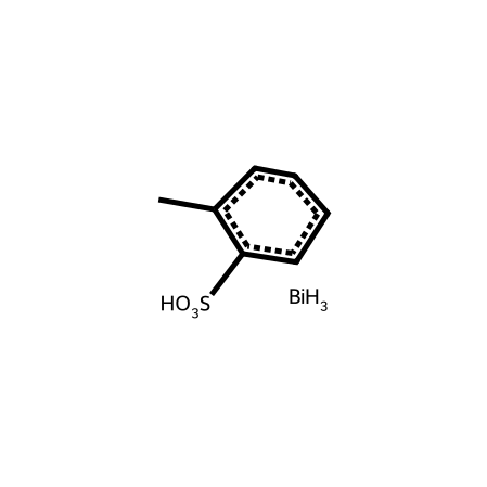 Cc1ccccc1S(=O)(=O)O.[BiH3]